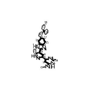 CNc1cc(-c2cc(-c3nc4ccc(OC(=O)OC)cc4[nH]3)c(=O)[nH]n2)nc(C)n1